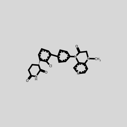 CN1CC(=O)N(c2ccc(-c3cccc([C@H]4CCC(=O)NC4=O)c3Cl)cc2)c2cnccc21